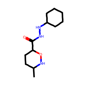 CC1CCC(C(=O)NNC2CCCCC2)ON1